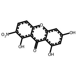 O=c1c2c(O)cc(O)cc2oc2ccc([N+](=O)[O-])c(O)c12